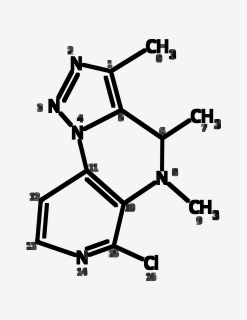 Cc1nnn2c1C(C)N(C)c1c-2ccnc1Cl